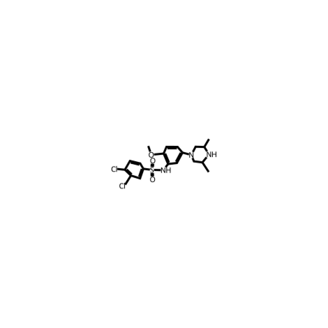 COc1ccc(N2CC(C)NC(C)C2)cc1NS(=O)(=O)c1ccc(Cl)c(Cl)c1